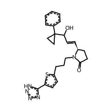 O=C1CC[C@H](/C=C/C(O)C2(c3ccccc3)CC2)N1CCCc1ccc(-c2nnn[nH]2)s1